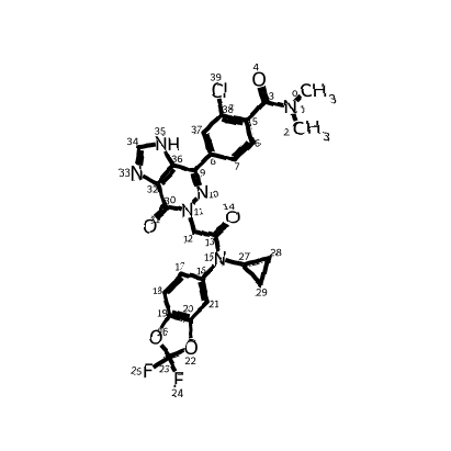 CN(C)C(=O)c1ccc(-c2nn(CC(=O)N(c3ccc4c(c3)OC(F)(F)O4)C3CC3)c(=O)c3nc[nH]c23)cc1Cl